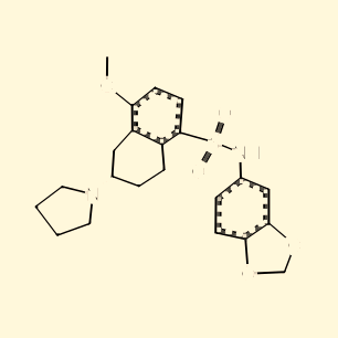 COc1ccc(S(=O)(=O)Nc2ccc3c(c2)OCO3)c2c1C[C@@H](N1CCCC1)CC2